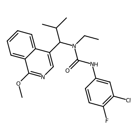 CCN(C(=O)Nc1ccc(F)c(Cl)c1)C(c1cnc(OC)c2ccccc12)C(C)C